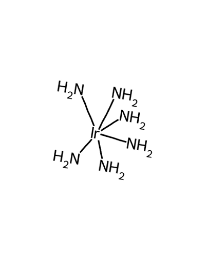 [NH2][Ir]([NH2])([NH2])([NH2])([NH2])[NH2]